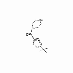 CC(C)(C)c1ccc(C(=O)C2CCNCC2)cc1